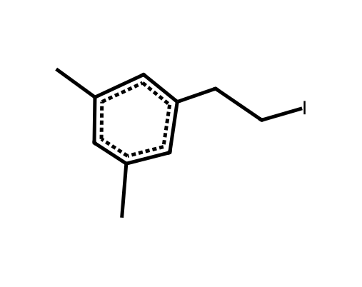 Cc1cc(C)cc(CCI)c1